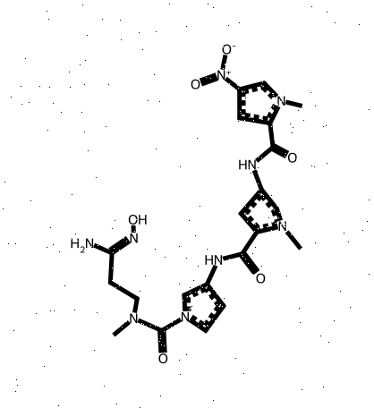 CN(CCC(N)=NO)C(=O)n1ccc(NC(=O)c2cc(NC(=O)c3cc([N+](=O)[O-])cn3C)cn2C)c1